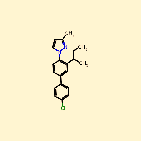 CCC(C)c1cc(-c2ccc(Cl)cc2)ccc1-n1ccc(C)n1